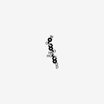 COCOc1ccc2c(c1)C=NC([C@H](O)CNC(=O)c1ccc3c(c1)CCN(C(=O)c1ccc(Br)cc1)C3)C2